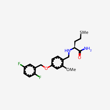 COc1cc(OCc2cc(F)ccc2F)ccc1CN[C@@H](CCSC)C(N)=O